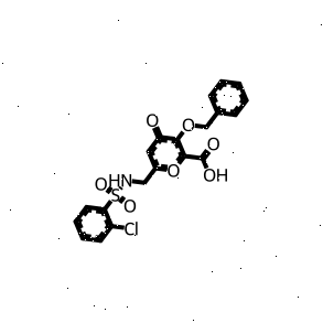 O=C(O)c1oc(CNS(=O)(=O)c2ccccc2Cl)cc(=O)c1OCc1ccccc1